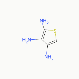 Nc1csc(N)c1N